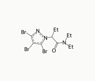 CCC(C(=O)N(CC)CC)n1nc(Br)c(Br)c1Br